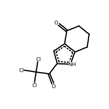 O=C1CCCc2[nH]c(C(=O)C(Cl)(Cl)Cl)cc21